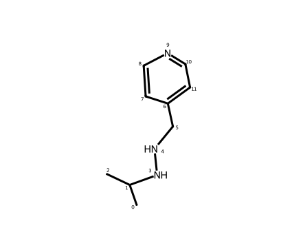 CC(C)NNCc1ccncc1